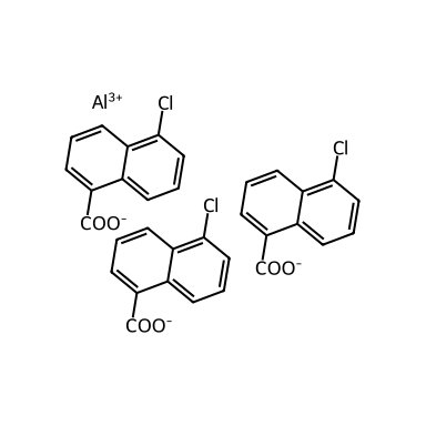 O=C([O-])c1cccc2c(Cl)cccc12.O=C([O-])c1cccc2c(Cl)cccc12.O=C([O-])c1cccc2c(Cl)cccc12.[Al+3]